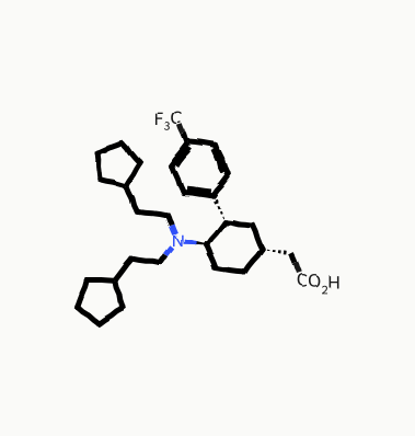 O=C(O)C[C@@H]1CC[C@@H](N(CCC2CCCC2)CCC2CCCC2)[C@H](c2ccc(C(F)(F)F)cc2)C1